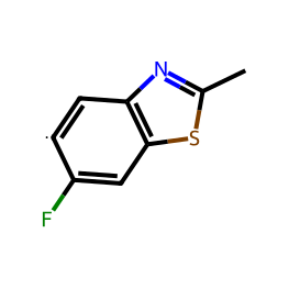 Cc1nc2c[c]c(F)cc2s1